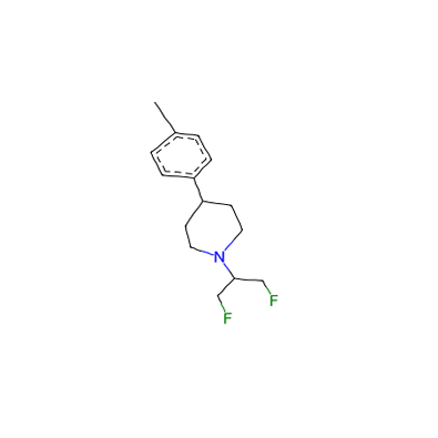 Cc1ccc(C2CCN(C(CF)CF)CC2)cc1